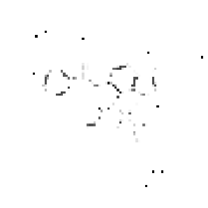 C=CCN(c1c(CNc2cccnc2)ccc2c(Cl)c[nH]c12)S(=O)(=O)N(C)C